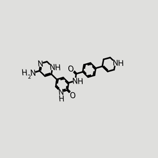 NC1=NCNC(c2c[nH]c(=O)c(NC(=O)c3ccc(C4=CCNCC4)cc3)c2)=C1